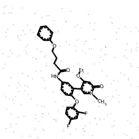 CCOc1cc(=O)n(C)cc1-c1cc(NC(=O)CCCOc2ccccc2)ccc1Oc1ccc(F)cc1F